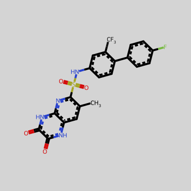 Cc1cc2[nH]c(=O)c(=O)[nH]c2nc1S(=O)(=O)Nc1ccc(-c2ccc(F)cc2)c(C(F)(F)F)c1